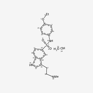 CCOc1ccc(NS(=O)(=O)c2ccc3[nH]cc(CCNC)c3c2)cc1.Cl.O